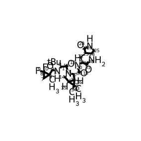 CC(C)(C)[C@H](NC(=O)C1(C)CC1(F)F)C(=O)N1C[C@H]2[C@@H]([C@H]1C(=O)N[C@@H](C[C@@H]1CCNC1=O)C(N)=O)C2(C)C